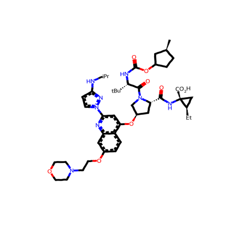 CC[C@@H]1C[C@]1(NC(=O)[C@@H]1C[C@@H](Oc2cc(-n3ccc(NC(C)C)n3)nc3cc(OCCN4CCOCC4)ccc23)CN1C(=O)[C@@H](NC(=O)OC1CC[C@H](C)C1)C(C)(C)C)C(=O)O